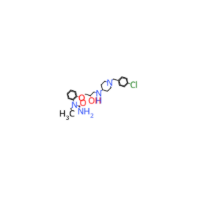 CCN(C(N)=O)c1ccccc1OC[C@@H](O)CNC1CCN(Cc2ccc(Cl)cc2)CC1